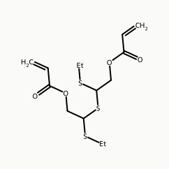 C=CC(=O)OCC(SCC)SC(COC(=O)C=C)SCC